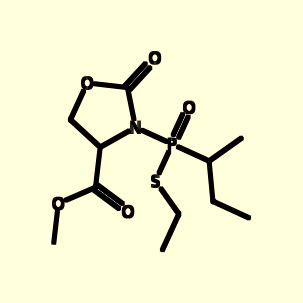 CCSP(=O)(C(C)CC)N1C(=O)OCC1C(=O)OC